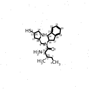 CC[C@H](C)[C@H](N)C(=O)N(C[C@H]1C[C@@H](S)CN1)C1Cc2ccccc2C1